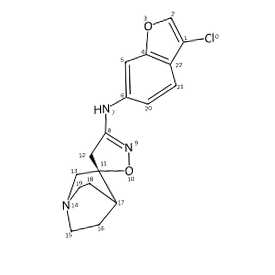 Clc1coc2cc(NC3=NO[C@@]4(C3)CN3CCC4CC3)ccc12